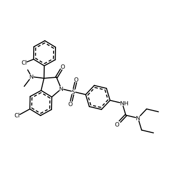 CCN(CC)C(=O)Nc1ccc(S(=O)(=O)N2C(=O)C(c3ccccc3Cl)(N(C)C)c3cc(Cl)ccc32)cc1